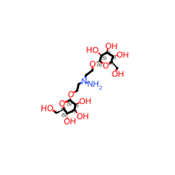 NN(CCO[C@H]1O[C@H](CO)[C@@H](O)[C@H](O)[C@@H]1O)CCO[C@H]1O[C@H](CO)[C@@H](O)[C@H](O)[C@@H]1O